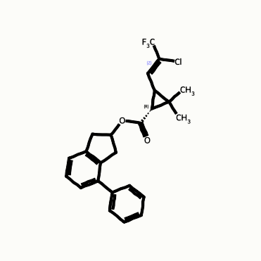 CC1(C)C(/C=C(\Cl)C(F)(F)F)[C@H]1C(=O)OC1Cc2cccc(-c3ccccc3)c2C1